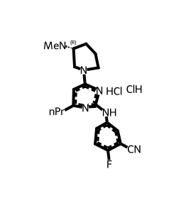 CCCc1cc(N2CCC[C@@H](NC)C2)nc(Nc2ccc(F)c(C#N)c2)n1.Cl.Cl